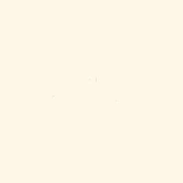 OC1(c2ccc(F)cc2)CCOC2(CCCC2)C1